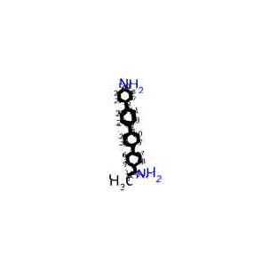 CCC(N)C1CCC(C2CCC(c3ccc(C4CCC(N)CC4)cc3)CC2)CC1